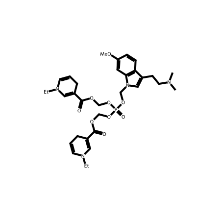 CCN1C=CCC(C(=O)OCOP(=O)(OCOC(=O)C2=CN(CC)C=CC2)OCn2cc(CCN(C)C)c3ccc(OC)cc32)=C1